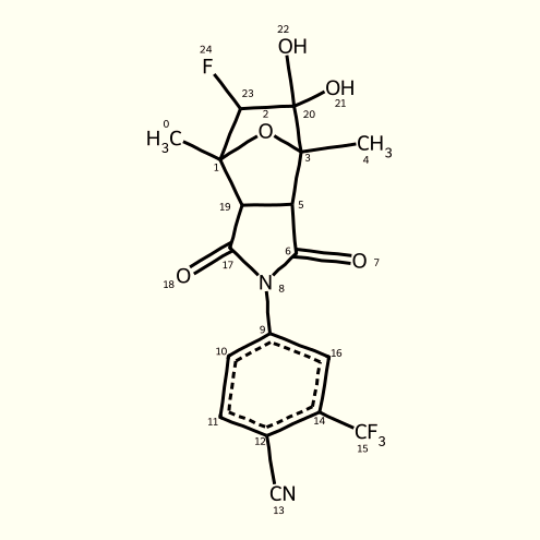 CC12OC(C)(C3C(=O)N(c4ccc(C#N)c(C(F)(F)F)c4)C(=O)C31)C(O)(O)C2F